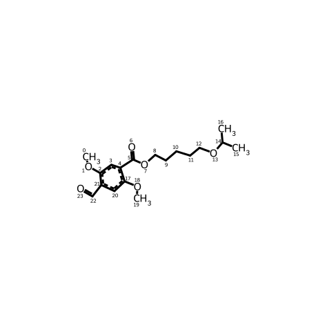 COc1cc(C(=O)OCCCCCOC(C)C)c(OC)cc1C=O